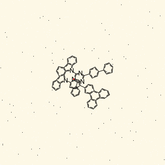 c1ccc(-c2ccc(-c3nc(-c4ccccc4)nc(-n4c5ccccc5c5ccc6c7ccccc7n(-c7ccc(-c8ccc9c%10ccccc%10c%10ccccc%10c9c8)cc7)c6c54)n3)cc2)cc1